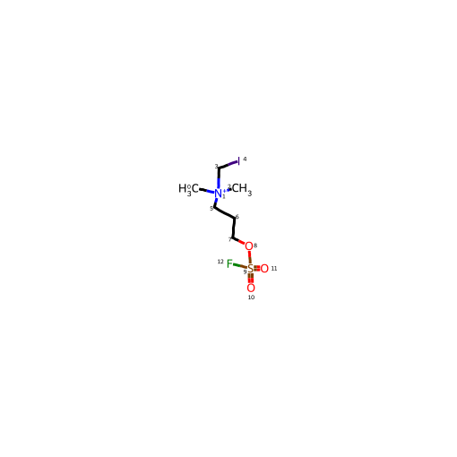 C[N+](C)(CI)CCCOS(=O)(=O)F